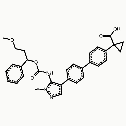 COCCC(OC(=O)Nc1c(-c2ccc(-c3ccc(C4(C(=O)O)CC4)cc3)cc2)cnn1C)c1ccccc1